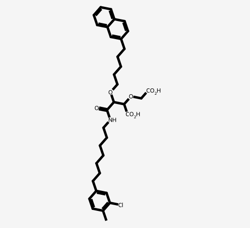 Cc1ccc(CCCCCCCNC(=O)C(OCCCCCc2ccc3ccccc3c2)C(OCC(=O)O)C(=O)O)cc1Cl